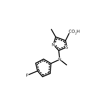 Cc1nc(N(C)c2ccc(F)cc2)sc1C(=O)O